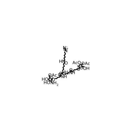 CC(=O)OCC1OC(OCCCCC(=O)N[C@H](CCCCNC(=O)CCCCOC2OC(CO)C(OC(C)=O)C(OC(C)=O)C2C)C(=O)NCCCCCC(=O)NCCCCCCN=[N+]=[N-])C(N)C(O)C1O